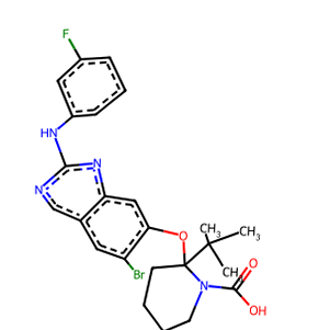 CC(C)(C)C1(Oc2cc3nc(Nc4cccc(F)c4)ncc3cc2Br)CCCCN1C(=O)O